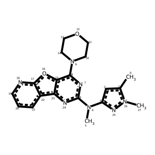 Cc1cc(N(C)c2nc(N3CCOCC3)c3oc4ncccc4c3n2)nn1C